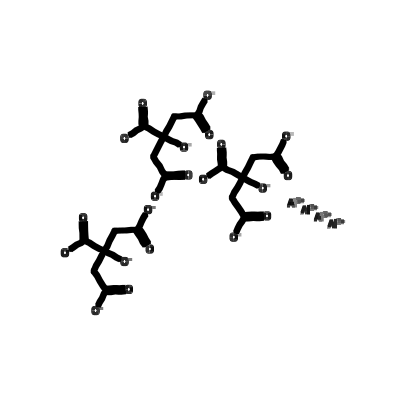 O=C([O-])CC([O-])(CC(=O)[O-])C(=O)[O-].O=C([O-])CC([O-])(CC(=O)[O-])C(=O)[O-].O=C([O-])CC([O-])(CC(=O)[O-])C(=O)[O-].[Al+3].[Al+3].[Al+3].[Al+3]